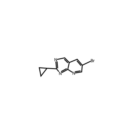 Brc1cnc2nc(C3CC3)ncc2c1